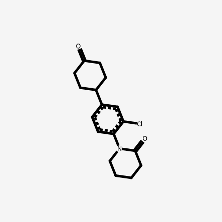 O=C1CCC(c2ccc(N3CCCCC3=O)c(Cl)c2)CC1